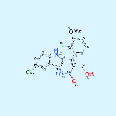 COc1cccc(-c2c(CO)c(=O)[nH]c3c2[nH]c2ccc(Cl)cc23)c1F